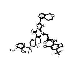 CCc1c(N2CCN(C(=O)c3ncnc(C)c3O)CC2)c(=O)n2nc(-c3cccc4c3CCOC4)nc2n1CC(=O)Nc1c(Cl)cc(C(F)(F)F)c2c1CC2